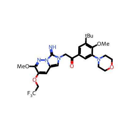 COc1nn2c(=N)n(CC(=O)c3cc(N4CCOCC4)c(OC)c(C(C)(C)C)c3)cc2cc1OCC(F)(F)F